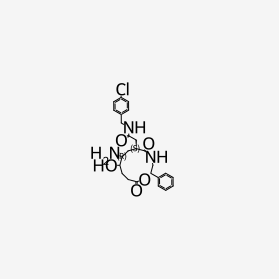 N[C@@H]1C[C@@H](CC(=O)NCc2ccc(Cl)cc2)C(=O)NCC(c2ccccc2)OC(=O)CCC1O